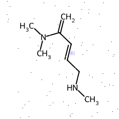 C=C(/C=C/CNC)N(C)C